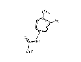 CCCC(=O)Nc1ccc(C)c(C(C)=O)c1